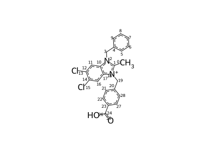 Cc1n(Cc2ccccc2)c2cc(Cl)c(Cl)cc2[n+]1Cc1ccc(C(=O)O)cc1